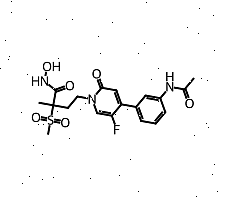 CC(=O)Nc1cccc(-c2cc(=O)n(CCC(C)(C(=O)NO)S(C)(=O)=O)cc2F)c1